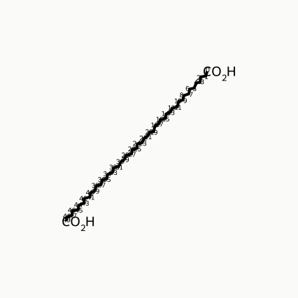 O=C(O)CCCCCCCCCCCCCCCCCCCCCCCCCCCCCCCCCCCCCCCCCCCCCCCCC(=O)O